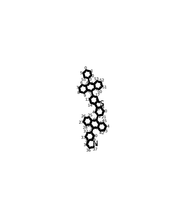 c1ccc(-c2c3ccccc3c(-c3ccc4c(c3)sc3ccc(-c5c6ccccc6c(-c6ccc7cccnc7c6)c6ccccc56)cc34)c3ccccc23)cc1